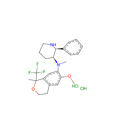 COc1cc2c(cc1N(C)[C@H]1CCCN[C@H]1c1ccccc1)C(C)(C(F)(F)F)OCC2.Cl.Cl